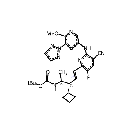 COc1ncc(Nc2nc(/C=C/[C@H](C3CCC3)[C@H](C)NC(=O)OC(C)(C)C)c(F)cc2C#N)cc1-n1nccn1